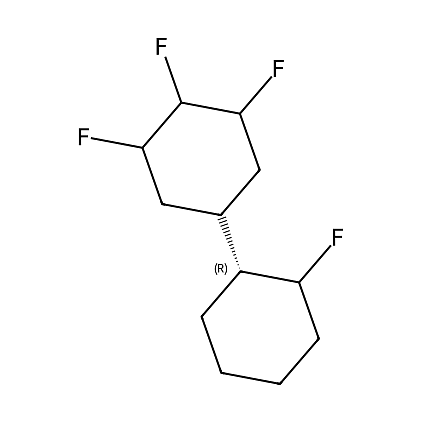 FC1CC([C@H]2CCCCC2F)CC(F)C1F